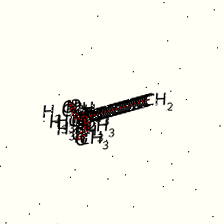 C=C=C=C=C=C=C=C=C=C=C=C=C=C=C=C=C=C=C=C=C=C=C=C=C=C=C=C=C=C=C=C=C=C=C=C(N(C(C)=O)C1=CC(=O)N(c2c(CC)cc(Cc3cc(CC)c(N4C(=O)C=CC4=O)c(CC)c3)cc2CC)C1=O)N(C(C)=O)C1CC(=O)N(c2c(CC)cc(Cc3cc(CC)c(N4C(=O)C=CC4=O)c(CC)c3)cc2CC)C1=O